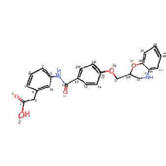 O=C(O)Cc1cccc(NC(=O)c2ccc(OCC3CNc4ccccc4O3)cc2)c1